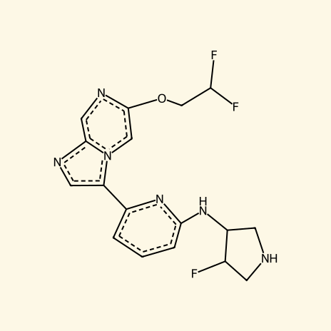 FC(F)COc1cn2c(-c3cccc(NC4CNCC4F)n3)cnc2cn1